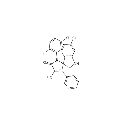 O=C1C(O)=C(c2ccccc2)C2(CNc3cc(Cl)ccc32)N1c1cc(Cl)ccc1F